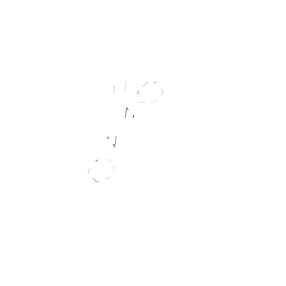 Cc1ccc(N2CCCN(c3ccc(C)cc3Cl)CC2)cc1